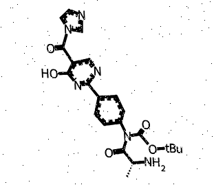 C[C@@H](N)C(=O)N(C(=O)OC(C)(C)C)c1ccc(-c2ncc(C(=O)n3ccnc3)c(O)n2)cc1